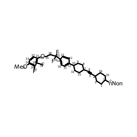 CCCCCCCCCC1CCC(C#CC2CCC(c3ccc(C(F)(F)CCOc4ccc(OC)c(F)c4F)cc3)CC2)CC1